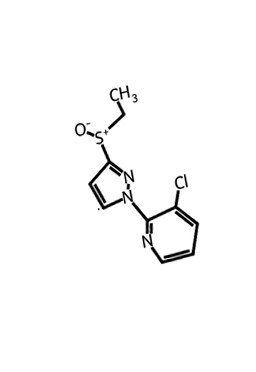 CC[S+]([O-])c1c[c]n(-c2ncccc2Cl)n1